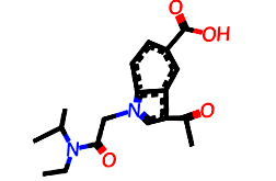 CCN(C(=O)Cn1cc(C(C)=O)c2cc(C(=O)O)ccc21)C(C)C